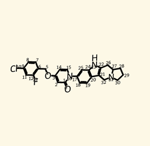 O=c1cc(OCc2ccc(Cl)cc2F)ccn1-c1ccc2c3c([nH]c2c1)CC1CCCN1C3